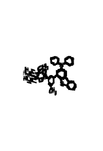 Cc1cc(B2OC(C)(C)C(C)(C)O2)cc(-c2cc(N(c3ccccc3)c3ccccc3)cc3c2sc2ccccc23)c1